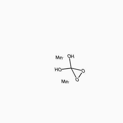 OC1(O)OO1.[Mn].[Mn]